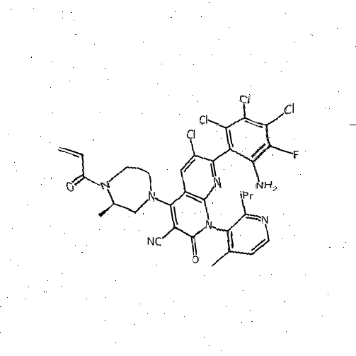 C=CC(=O)N1CCN(c2c(C#N)c(=O)n(-c3c(C)ccnc3C(C)C)c3nc(-c4c(N)c(F)c(Cl)c(Cl)c4Cl)c(Cl)cc23)C[C@H]1C